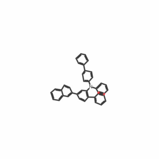 c1ccc(-c2ccc(N(c3ccccc3)c3cc(-c4ccc5ccccc5c4)ccc3-c3ccccc3)cc2)cc1